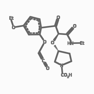 CCNC(=O)[C@@H](O[C@@H]1CCN(C(=O)O)C1)C(=O)c1ccc(OCC)cc1OC=C=O